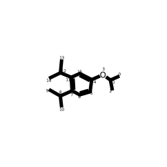 CC(C)Oc1ccc(C(C)C)c(C(C)C)c1